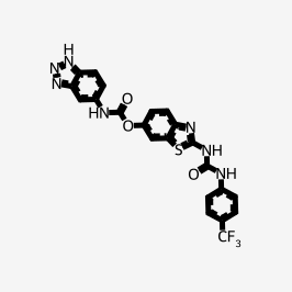 O=C(Nc1ccc(C(F)(F)F)cc1)Nc1nc2ccc(OC(=O)Nc3ccc4[nH]nnc4c3)cc2s1